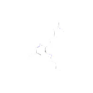 CCCSNc1cc(Br)cnc1OCCCN(C)C